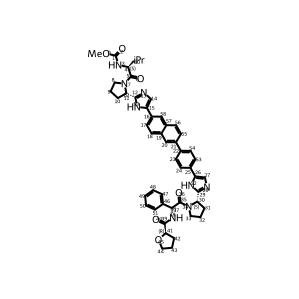 COC(=O)N[C@H](C(=O)N1CCC[C@H]1c1ncc(-c2ccc3cc(-c4ccc(-c5cnc([C@@H]6CCCN6C(=O)[C@H](NC(=O)[C@H]6CCCO6)c6ccccc6)[nH]5)cc4)ccc3c2)[nH]1)C(C)C